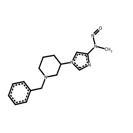 CN(N=O)c1cn(C2CCCN(Cc3ccccc3)C2)cn1